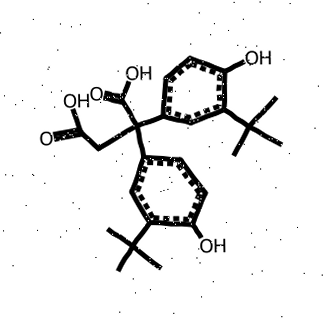 CC(C)(C)c1cc(C(CC(=O)O)(C(=O)O)c2ccc(O)c(C(C)(C)C)c2)ccc1O